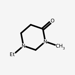 CCN1CCC(=O)N(C)C1